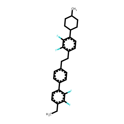 CCc1ccc(-c2ccc(CCc3ccc(C4CCC(C)CC4)c(F)c3F)cc2)c(F)c1F